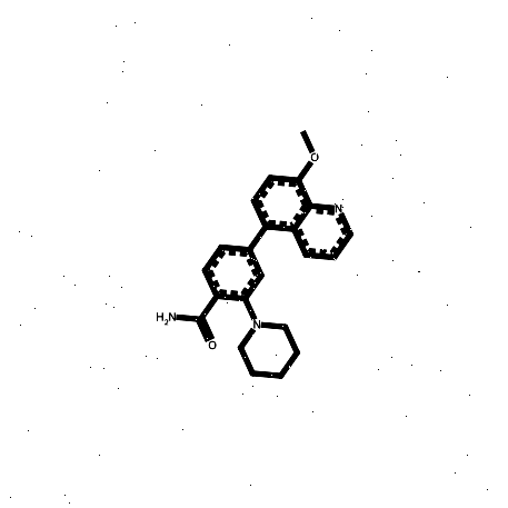 COc1ccc(-c2ccc(C(N)=O)c(N3CCCCC3)c2)c2cccnc12